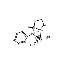 C[N+]1([C@H](C(N)=O)c2ccccc2)CCC[C@H]1C(=O)O